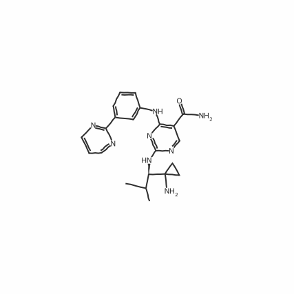 CC(C)[C@@H](Nc1ncc(C(N)=O)c(Nc2cccc(-c3ncccn3)c2)n1)C1(N)CC1